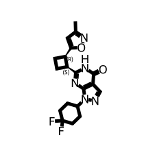 Cc1cc([C@@H]2CC[C@@H]2c2nc3c(cnn3C3CCC(F)(F)CC3)c(=O)[nH]2)on1